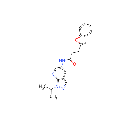 CC(C)n1ncc2cc(NC(=O)CCc3cc4ccccc4o3)cnc21